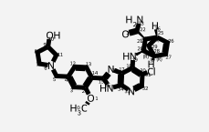 COc1cc(CN2CCC(O)C2)ccc1-c1nc2c(N[C@H]3[C@@H](C(N)=O)[C@@H]4C=C[C@H]3C4)c(Cl)cnc2[nH]1